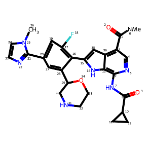 CNC(=O)c1cnc(NC(=O)C2CC2)c2[nH]c(-c3c(F)cc(-c4nccn4C)cc3C3CNCCO3)cc12